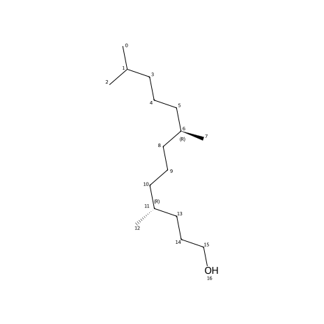 CC(C)CCC[C@@H](C)CCC[C@@H](C)CCCO